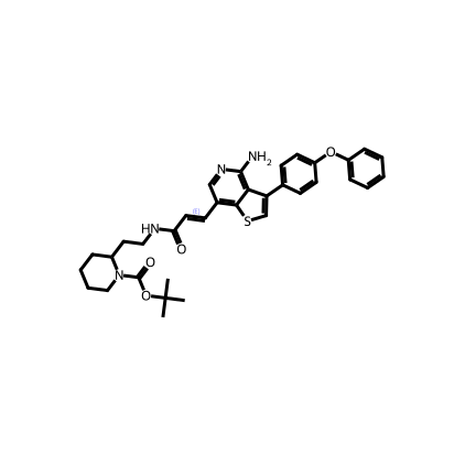 CC(C)(C)OC(=O)N1CCCCC1CCNC(=O)/C=C/c1cnc(N)c2c(-c3ccc(Oc4ccccc4)cc3)csc12